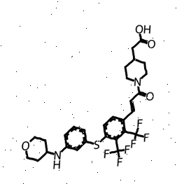 O=C(O)CC1CCN(C(=O)C=Cc2ccc(Sc3cccc(NC4CCOCC4)c3)c(C(F)(F)F)c2C(F)(F)F)CC1